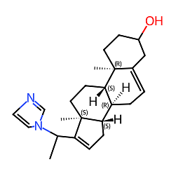 CC(C1=CC[C@H]2[C@@H]3CC=C4CC(O)CC[C@]4(C)[C@H]3CC[C@]12C)n1ccnc1